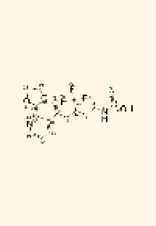 O=C(O)NCCC(CC(=O)c1cccnc1C1OCCO1)C(F)(F)F